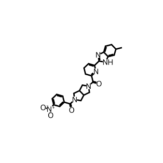 CC1C=c2[nH]c(C3=CCCC(C(=O)N4CC5CN(C(=O)c6cccc([N+](=O)[O-])c6)CC5C4)=N3)nc2=CC1